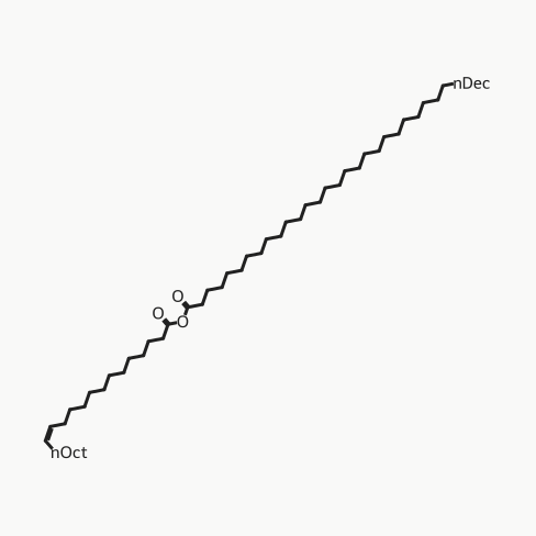 CCCCCCCC/C=C\CCCCCCCCCCCC(=O)OC(=O)CCCCCCCCCCCCCCCCCCCCCCCCCCCCCCCCCCCC